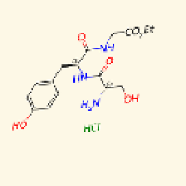 CCOC(=O)CNC(=O)[C@H](Cc1ccc(O)cc1)NC(=O)[C@@H](N)CO.Cl